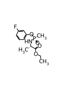 CCOC(=O)[C@H](C)N[P@](C)(=O)Oc1cccc(F)c1